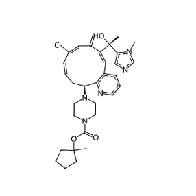 C=C1/C=C(Cl)\C=C/C[C@H](N2CCN(C(=O)OC3(C)CCCC3)CC2)c2ncccc2/C=C\1[C@](C)(O)c1cncn1C